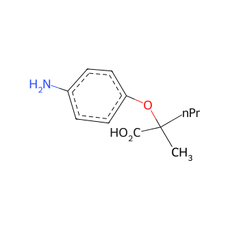 CCCC(C)(Oc1ccc(N)cc1)C(=O)O